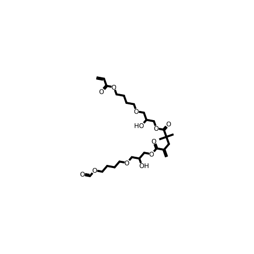 C=CC(=O)OCCCCOCC(O)COC(=O)C(C)(C)CC(=C)C(=O)OCC(O)COCCCCOC=O